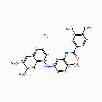 COc1ccc(C(=O)Nc2cc(Nc3ccnc4cc(OC)c(OC)cc34)ccc2C)cc1OC.Cl